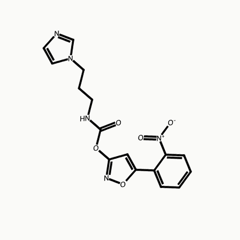 O=C(NCCCn1ccnc1)Oc1cc(-c2ccccc2[N+](=O)[O-])on1